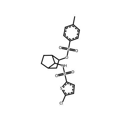 Cc1ccc(S(=O)(=O)OC2CC3CCC2C3NS(=O)(=O)c2ccc(Cl)s2)cc1